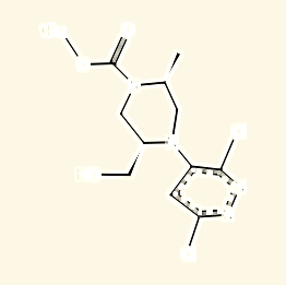 C[C@H]1CN(c2cc(Cl)nnc2Cl)[C@@H](CO)CN1C(=O)OC(C)(C)C